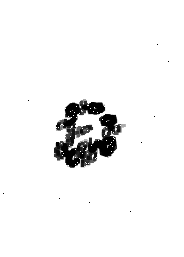 CCCCCCOc1nsnc1C1=CCC[N+](C)(C(CC)OC(=O)Cc2ccccc2OC(=O)c2ccccc2)C1.O=C(Cl)Cc1ccccc1OC(=O)c1ccccc1.[I-]